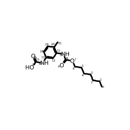 CCCCCCCOC(=O)Nc1cc(NC(=O)O)ccc1C